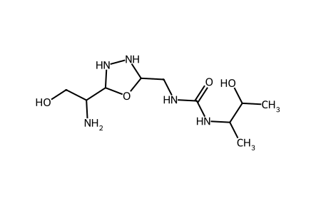 CC(O)C(C)NC(=O)NCC1NNC(C(N)CO)O1